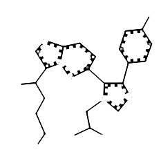 CC(CCCO)c1cnc2ccc(-c3c(-c4ccc(F)cc4)ncn3CC(F)F)nn12